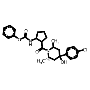 CC1CC(O)(c2ccc(Cl)cc2)C[C@H](C)N1C(=O)C1CCCC1NC(=O)Oc1ccccc1